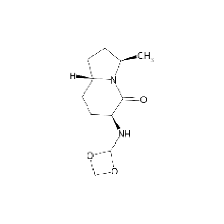 C[C@@H]1CC[C@H]2CC[C@H](NC3OCO3)C(=O)N21